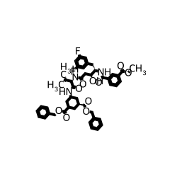 COC(=O)c1cccc(C(=O)N[C@@H](Cc2cc(F)cc(F)c2)[C@@H](O)CC(=O)N[C@H](C(=O)NC2CC(C(=O)OCc3ccccc3)C[C@H](C(=O)OCc3ccccc3)C2)C(C)C)c1